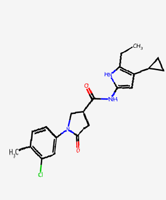 CCc1[nH]c(NC(=O)C2CC(=O)N(c3ccc(C)c(Cl)c3)C2)cc1C1CC1